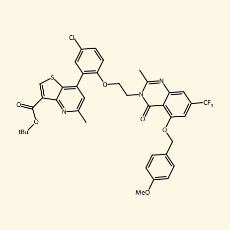 COc1ccc(COc2cc(C(F)(F)F)cc3nc(C)n(CCOc4ccc(Cl)cc4-c4cc(C)nc5c(C(=O)OC(C)(C)C)csc45)c(=O)c23)cc1